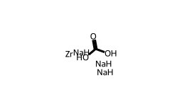 O=C(O)O.[NaH].[NaH].[NaH].[Zr]